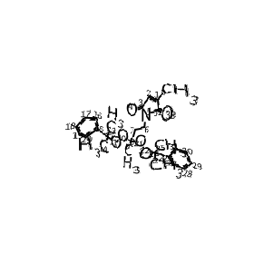 CC1=CC(=O)N(CCC(C)(OOC(C)(C)c2ccccc2)OOC(C)(C)c2ccccc2)C1=O